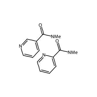 CNC(=O)c1ccccn1.CNC(=O)c1cccnc1